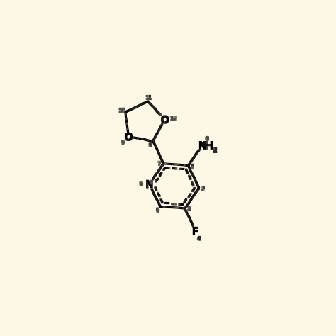 Nc1cc(F)cnc1C1OCCO1